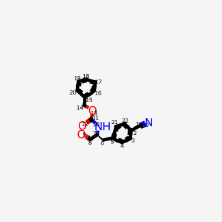 N#Cc1ccc(C[C@@H](C=O)NC(=O)OCc2ccccc2)cc1